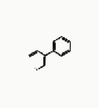 C=CC(=[C]CC)c1ccccc1